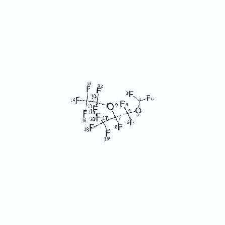 FC(F)OC(F)(F)C(F)(OC(F)(F)C(F)(F)F)C(F)(F)F